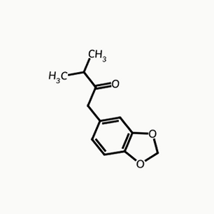 CC(C)C(=O)Cc1ccc2c(c1)OCO2